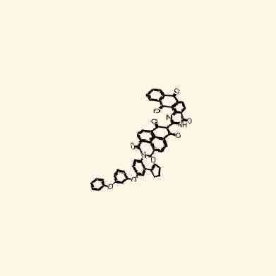 O=C1c2ccccc2C(=O)c2c1ccc1c(=O)[nH]c(C3C(=O)c4ccc5c6c(ccc(c46)C3=O)C(=O)N(c3ccc(Oc4cccc(Oc6ccccc6)c4)cc3C3=CC=CC3)C5=O)nc21